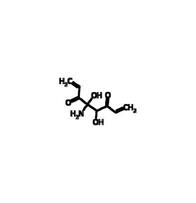 C=CC(=O)C(O)C(N)(O)C(=O)C=C